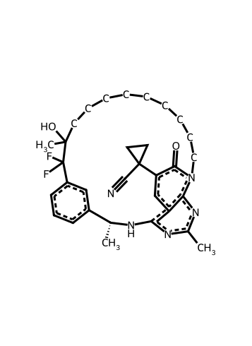 Cc1nc2c3cc(C4(C#N)CC4)c(=O)n(c3n1)CCCCCCCCCC(C)(O)C(F)(F)c1cccc(c1)[C@@H](C)N2